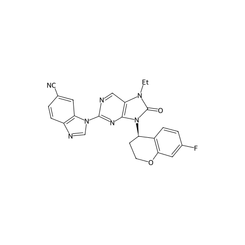 CCn1c(=O)n([C@@H]2CCOc3cc(F)ccc32)c2nc(-n3cnc4ccc(C#N)cc43)ncc21